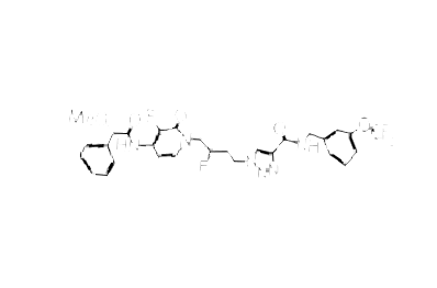 CO[C@H](C(=O)Nc1ccn(CC(F)CCn2cc(C(=O)NCc3cccc(OC(F)(F)F)c3)nn2)c(=O)c1F)c1ccccc1